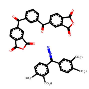 O=C(c1cccc(C(=O)c2ccc3c(c2)C(=O)OC3=O)c1)c1ccc2c(c1)C(=O)OC2=O.[N-]=[N+]=C(c1ccc(C(=O)O)c(C(=O)O)c1)c1ccc(C(=O)O)c(C(=O)O)c1